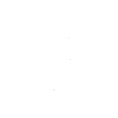 CC1=C(C)C(=O)C(C(CCCCO[N+](=O)[O-])(CCC(=O)O)c2ccc(F)cc2)=C(C)C1=O